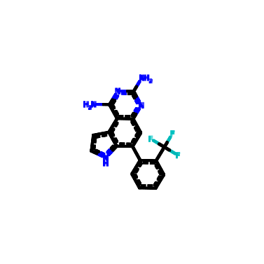 Nc1nc(N)c2c(cc(-c3ccccc3C(F)(F)F)c3[nH]ccc32)n1